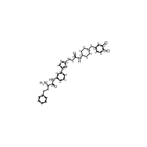 N[C@H](CCc1ccccc1)C(=O)Nc1cccc(-c2csc(SCC(=O)NC3CCN(Cc4ccc(Cl)c(Cl)c4)CC3)n2)c1